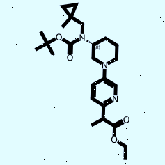 CCOC(=O)C(C)c1ccc(N2CCC[C@@H](N(CC3(C)CC3)C(=O)OC(C)(C)C)C2)cn1